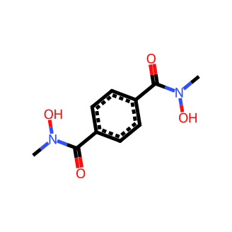 CN(O)C(=O)c1ccc(C(=O)N(C)O)cc1